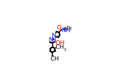 C#Cc1ccc(-c2cnn(-c3ccc(C(=O)NCCC)cn3)c2O)c(C)c1